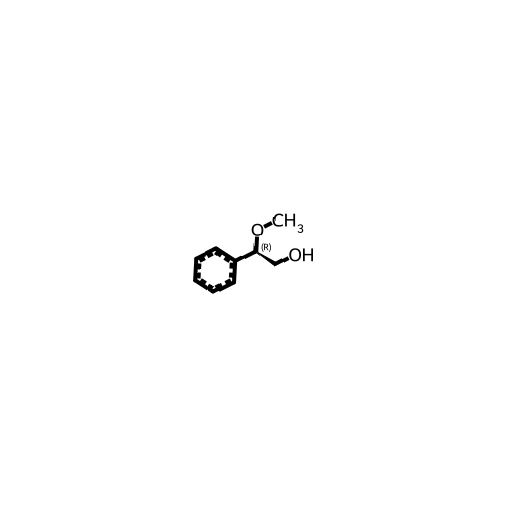 CO[C@@H](CO)c1ccccc1